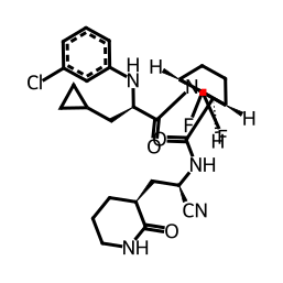 N#C[C@@H](C[C@@H]1CCCNC1=O)NC(=O)[C@@H]1[C@H]2CC[C@H](CC2(F)F)N1C(=O)[C@@H](CC1CC1)Nc1cccc(Cl)c1